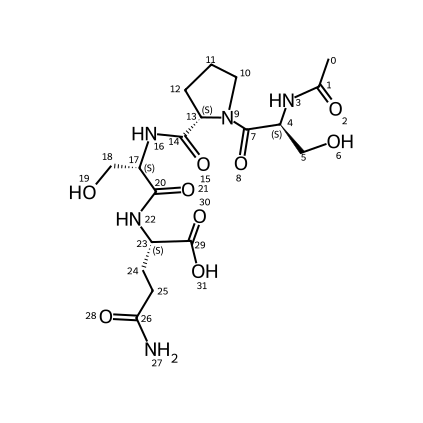 CC(=O)N[C@@H](CO)C(=O)N1CCC[C@H]1C(=O)N[C@@H](CO)C(=O)N[C@@H](CCC(N)=O)C(=O)O